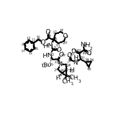 CC(C)(C)[C@H](NC(=O)NC1(C(=O)OCc2ccccc2)CCOCC1)C(=O)N1C[C@H]2[C@@H]([C@H]1C(=O)NC(C(=O)C(N)=O)C1CC1)C2(C)C